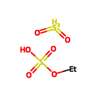 CCOS(=O)(=O)O.O=[SH2]=O